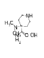 CN(C)C1(C(N)=O)CCNCC1.Cl